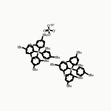 CC(C)(C)c1ccc([P+](c2ccc(C(C)(C)C)cc2C(C)(C)C)(c2ccc(C(C)(C)C)cc2C(C)(C)C)c2ccc(C(C)(C)C)cc2C(C)(C)C)c(C(C)(C)C)c1.CC(C)(C)c1ccc([P+](c2ccc(C(C)(C)C)cc2C(C)(C)C)(c2ccc(C(C)(C)C)cc2C(C)(C)C)c2ccc(C(C)(C)C)cc2C(C)(C)C)c(C(C)(C)C)c1.O=P([O-])([O-])[O-].[H+]